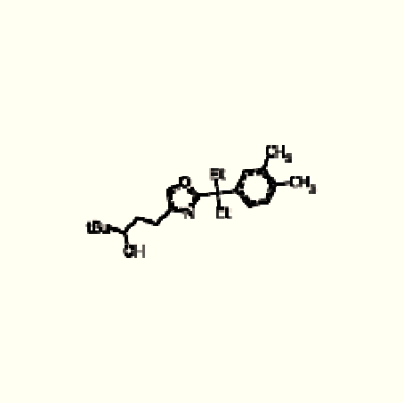 CCC(CC)(c1ccc(C)c(C)c1)c1nc(CCC(O)C(C)(C)C)co1